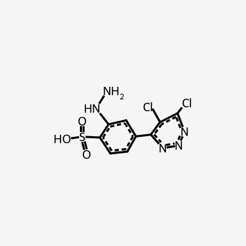 NNc1cc(-c2nnnc(Cl)c2Cl)ccc1S(=O)(=O)O